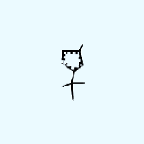 FC(F)(F)c1cc(Cl)c[nH]1